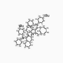 CC(C)(C)c1ccc(N(C2=c3c(n4c5cc6ccccc6c(N(c6ccccc6)c6ccc(C(C)(C)C)cc6)c5c5cccc3c54)=CC3=CC2C=CC=C3)c2ccccc2)cc1